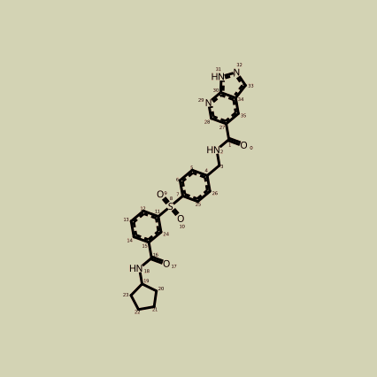 O=C(NCc1ccc(S(=O)(=O)c2cccc(C(=O)NC3CCCC3)c2)cc1)c1cnc2[nH]ncc2c1